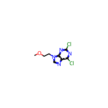 COCCn1cnc2c(Cl)nc(Cl)nc21